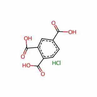 Cl.O=C(O)c1ccc(C(=O)O)c(C(=O)O)c1